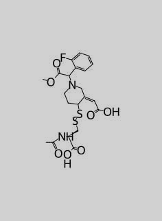 COC(=O)C(c1ccccc1F)N1CCC(SSC[C@H](NC(C)=O)C(=O)O)/C(=C\C(=O)O)C1